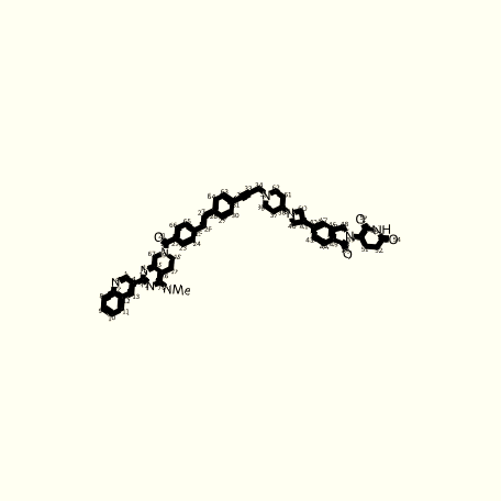 CNc1nc(-c2cnc3ccccc3c2)nc2c1CCN(C(=O)c1ccc(/C=C/c3ccc(C#CCN4CCC(N5CC(c6ccc7c(c6)CN(C6CCC(=O)NC6=O)C7=O)C5)CC4)cc3)cc1)C2